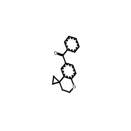 O=C(c1ccccc1)c1ccc2c(c1)C1(CCO2)CC1